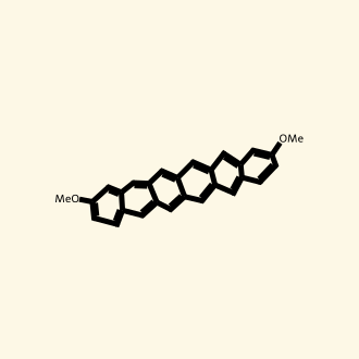 COc1ccc2cc3cc4cc5cc6ccc(OC)cc6cc5cc4cc3cc2c1